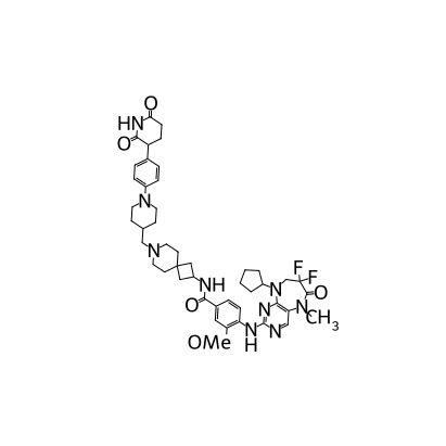 COc1cc(C(=O)NC2CC3(CCN(CC4CCN(c5ccc(C6CCC(=O)NC6=O)cc5)CC4)CC3)C2)ccc1Nc1ncc2c(n1)N(C1CCCC1)CC(F)(F)C(=O)N2C